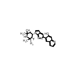 CC1(C)C[C@H](n2ccc3cc(-c4cc5cccnc5cc4O)nnc32)[C@H](F)C(C)(C)N1